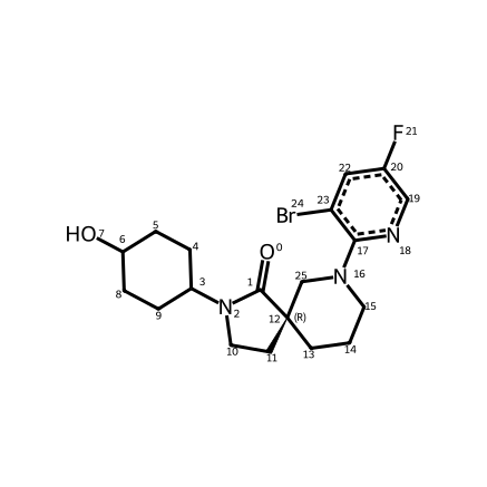 O=C1N(C2CCC(O)CC2)CC[C@@]12CCCN(c1ncc(F)cc1Br)C2